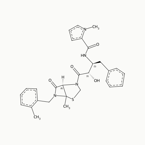 Cc1ccccc1CN1C(=O)[C@H]2N(C(=O)[C@@H](O)[C@H](Cc3ccccc3)NC(=O)c3cccn3C)CSC21C